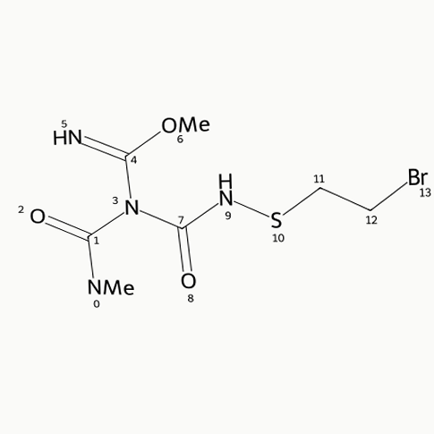 CNC(=O)N(C(=N)OC)C(=O)NSCCBr